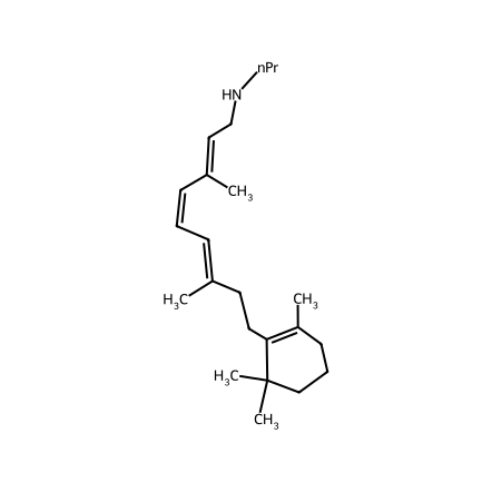 CCCNC/C=C(C)/C=C\C=C(/C)CCC1=C(C)CCCC1(C)C